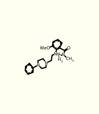 COc1cccc(C(=O)N(C)C)c1NCCN1CCN(c2ccccc2)CC1